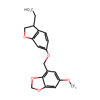 O=C(O)CC1COc2cc(OCc3cc(OC(F)(F)F)cc4c3OCO4)ccc21